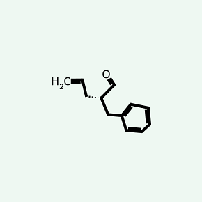 C=CC[C@H](C=O)Cc1ccccc1